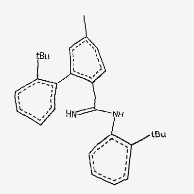 Cc1ccc(C(=N)Nc2ccccc2C(C)(C)C)c(-c2ccccc2C(C)(C)C)c1